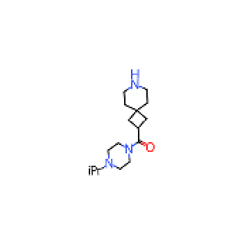 CC(C)N1CCN(C(=O)C2CC3(CCNCC3)C2)CC1